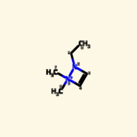 CCN1C=C[N+]1(C)C